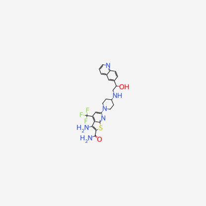 NC(=O)c1sc2nc(N3CCC(NCC(O)c4ccc5ncccc5c4)CC3)cc(C(F)(F)F)c2c1N